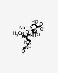 CO/N=C(\C(=O)NC1C(=O)N2C(C(=O)[O-])C(O)CS[C@H]12)c1csc(NC=O)n1.[Na+]